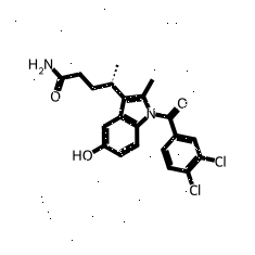 Cc1c([C@@H](C)CCC(N)=O)c2cc(O)ccc2n1C(=O)c1ccc(Cl)c(Cl)c1